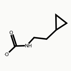 [O]C(=O)NCCC1CC1